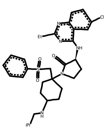 CCc1nc(N[C@H]2CCN(C3(CS(=O)(=O)c4ccccc4)CCC(NCC(C)C)CC3)C2=O)c2cc(Cl)ccc2n1